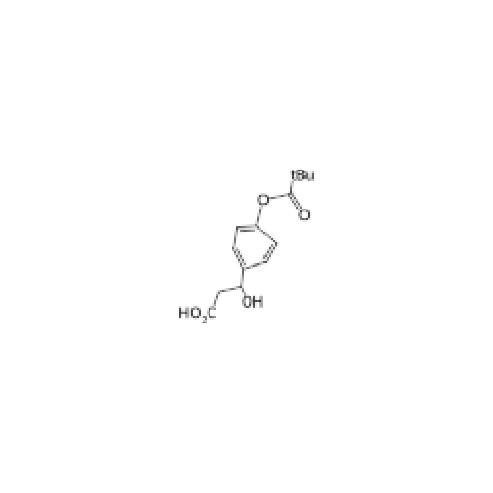 CC(C)(C)C(=O)Oc1ccc(C(O)CC(=O)O)cc1